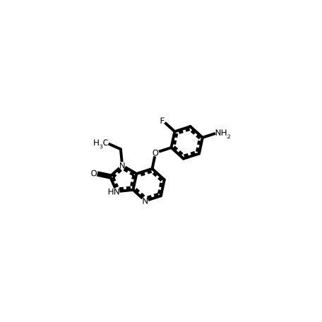 CCn1c(=O)[nH]c2nccc(Oc3ccc(N)cc3F)c21